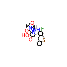 O=C1c2c(O)c(=O)cc(-c3cc(F)cc4c3Cc3ccccc3SC4)n2N[C@@H]2COCC3(CC3)N12